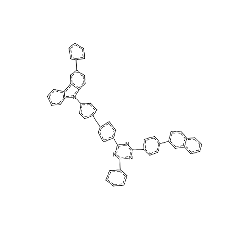 c1ccc(-c2ccc3c(c2)c2ccccc2n3-c2ccc(-c3ccc(-c4nc(-c5ccccc5)nc(-c5ccc(-c6ccc7ccccc7c6)cc5)n4)cc3)cc2)cc1